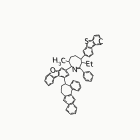 CCC1/C(c2ccccc2)=N\C(c2cc(C3CCc4cc5ccccc5cc4-c4ccccc43)c3c(c2)oc2ccccc23)C(C)CCC1c1ccc2c(c1)sc1ccccc12